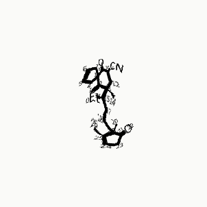 CC/C=C1/C2(CC=CC2)C(=O)C(C#N)=C[C@]1(C)[C@H](C)CC[C@]1(C)C(=O)CC[C@H]1C